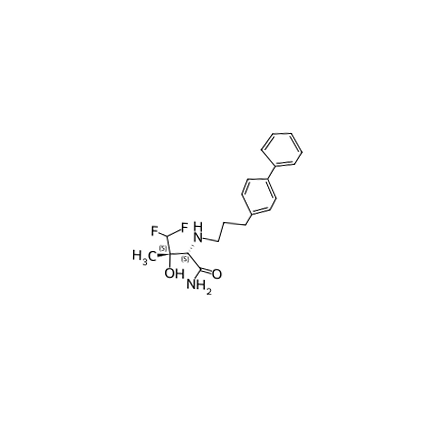 C[C@@](O)(C(F)F)[C@H](NCCCc1ccc(-c2ccccc2)cc1)C(N)=O